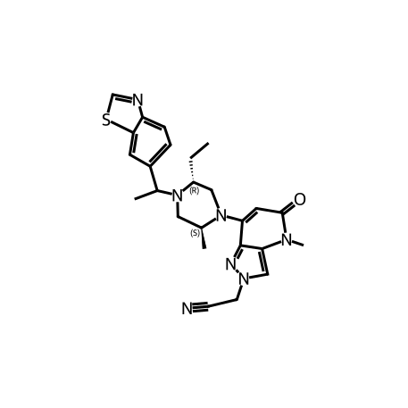 CC[C@@H]1CN(c2cc(=O)n(C)c3cn(CC#N)nc23)[C@@H](C)CN1C(C)c1ccc2ncsc2c1